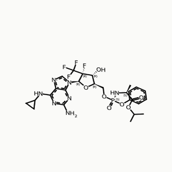 CC(C)OC(=O)[C@H](C)N[P@](=O)(OC[C@H]1O[C@@H](n2cnc3c(NC4CC4)nc(N)nc32)[C@@](F)(C(F)(F)F)[C@@H]1O)Oc1ccccc1